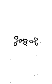 Cc1ccc2c(-c3ccc(N(c4ccccc4)c4ccccc4)cc3)ccc(-c3ccc(N(c4ccccc4)c4ccccc4)cc3)c2c1